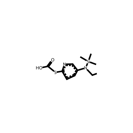 CCN(c1ccc(SC(=O)O)nc1)[Si](C)(C)C